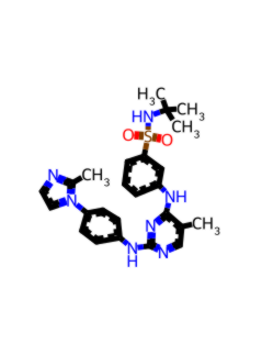 Cc1cnc(Nc2ccc(-n3ccnc3C)cc2)nc1Nc1cccc(S(=O)(=O)NC(C)(C)C)c1